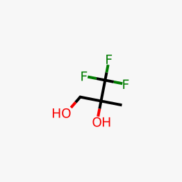 CC(O)(CO)C(F)(F)F